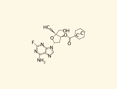 C#C[C@]1(CO)O[C@@H](n2cnc3c(N)nc(F)nc32)C[C@@H]1OC(=O)C12CCC(CC1)CC2